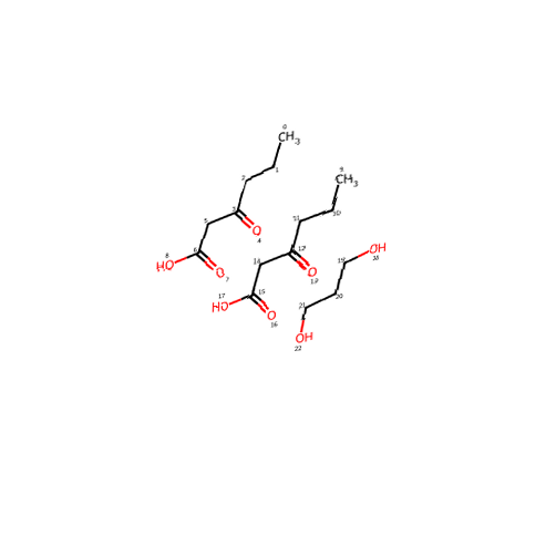 CCCC(=O)CC(=O)O.CCCC(=O)CC(=O)O.OCCCO